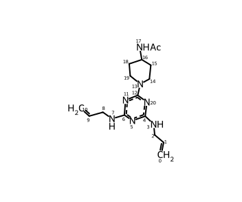 C=CCNc1nc(NCC=C)nc(N2CCC(NC(C)=O)CC2)n1